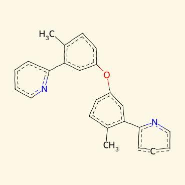 Cc1ccc(Oc2ccc(C)c(-c3ccccn3)c2)cc1-c1ccccn1